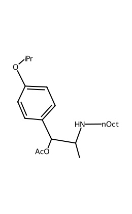 CCCCCCCCNC(C)C(OC(C)=O)c1ccc(OC(C)C)cc1